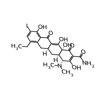 CCc1cc(I)c(O)c2c1C[C@@H]1C[C@@H]3[C@@H](N(C)C)C(O)=C(C(N)=O)C(=O)[C@]3(O)C(O)=C1C2=O